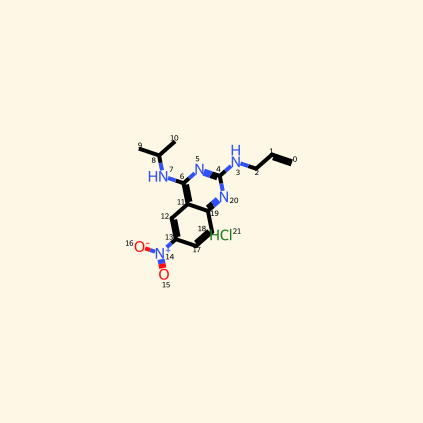 C=CCNc1nc(NC(C)C)c2cc([N+](=O)[O-])ccc2n1.Cl